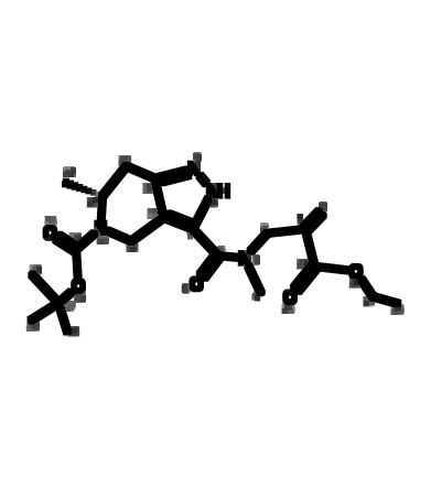 C=C(CN(C)C(=O)c1[nH]nc2c1CN(C(=O)OC(C)(C)C)[C@H](C)C2)C(=O)OCC